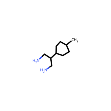 CC1CCC(C(CN)CN)CC1